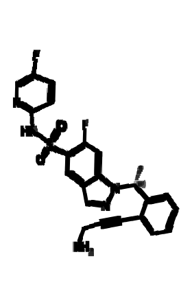 C[C@H](c1ccccc1C#CCN)n1ncc2cc(S(=O)(=O)Nc3ccc(F)cn3)c(F)cc21